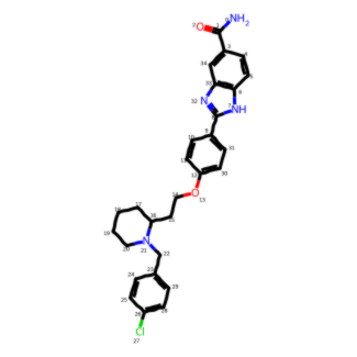 NC(=O)c1ccc2[nH]c(-c3ccc(OCCC4CCCCN4Cc4ccc(Cl)cc4)cc3)nc2c1